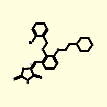 O=C1NC(=S)S/C1=C/c1cccc(OCCN2CCOCC2)c1OCc1ccccc1Br